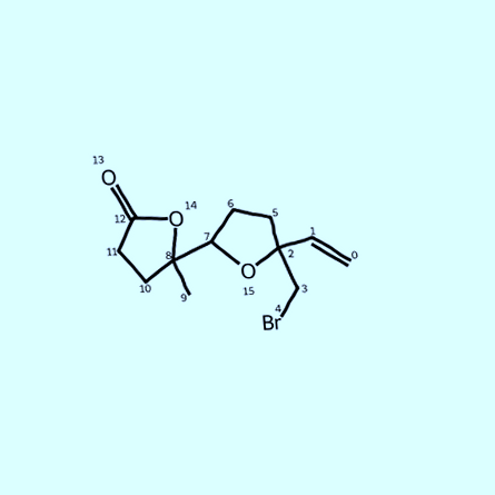 C=CC1(CBr)CCC(C2(C)CCC(=O)O2)O1